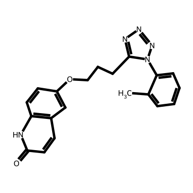 Cc1ccccc1-n1nnnc1CCCOc1ccc2[nH]c(=O)ccc2c1